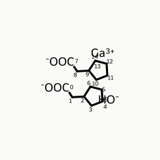 O=C([O-])CC1CCCC1.O=C([O-])CC1CCCC1.[Ga+3].[OH-]